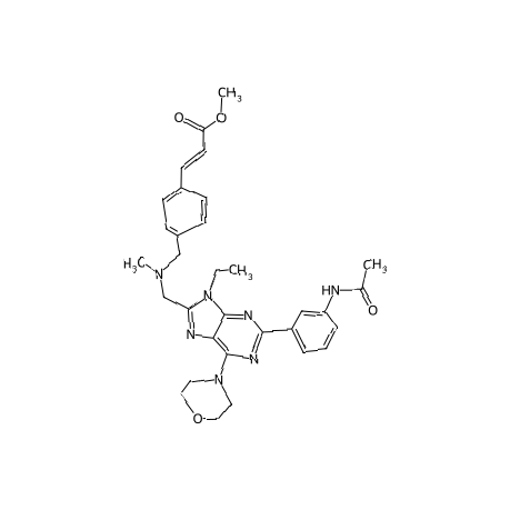 CCn1c(CN(C)Cc2ccc(C=CC(=O)OC)cc2)nc2c(N3CCOCC3)nc(-c3cccc(NC(C)=O)c3)nc21